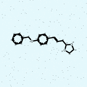 C(=Cc1ccc(OCc2ccccc2)cc1)CC1OCCO1